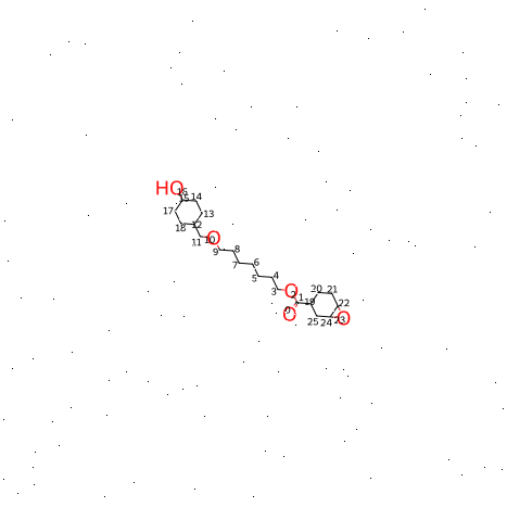 O=C(OCCCCCCCOCC1CCC(O)CC1)C1CCC2OC2C1